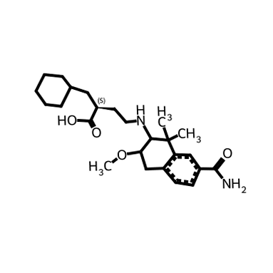 COC1Cc2ccc(C(N)=O)cc2C(C)(C)C1NCC[C@H](CC1CCCCC1)C(=O)O